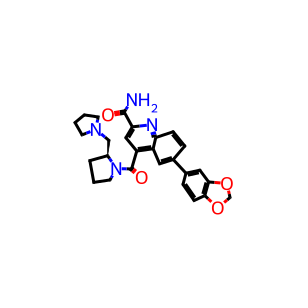 NC(=O)c1cc(C(=O)N2CCC[C@H]2CN2CCCC2)c2cc(-c3ccc4c(c3)OCO4)ccc2n1